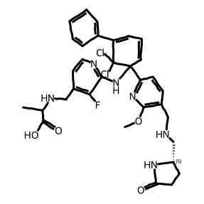 COc1nc(C2(Nc3nccc(CNC(C)C(=O)O)c3F)C=CC=C(c3ccccc3)C2(Cl)Cl)ccc1CNC[C@@H]1CCC(=O)N1